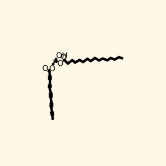 CC#CC#CC#CC#CC#CC(=O)OC[C@@H](CO)OC(=O)CCCCCCCCCCCCCCC